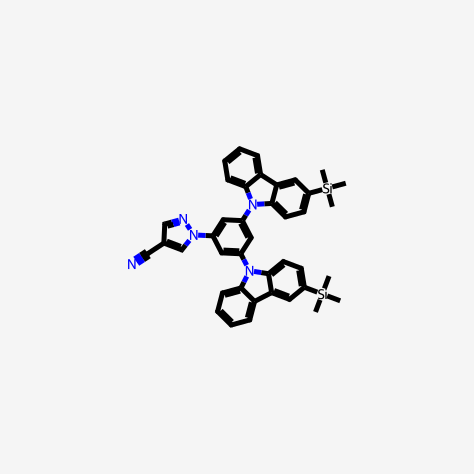 C[Si](C)(C)c1ccc2c(c1)c1ccccc1n2-c1cc(-n2cc(C#N)cn2)cc(-n2c3ccccc3c3cc([Si](C)(C)C)ccc32)c1